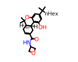 CCCCCCC(C)(C)c1cc(O)c2c(c1)OC(C)(C)[C@@H]1CC=C(C(=O)NC3COC3)C[C@@H]21